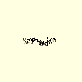 COc1ccc(CCOc2cccc(-c3cccc(NC(=O)Cn4ccnc4)c3)n2)cc1OC